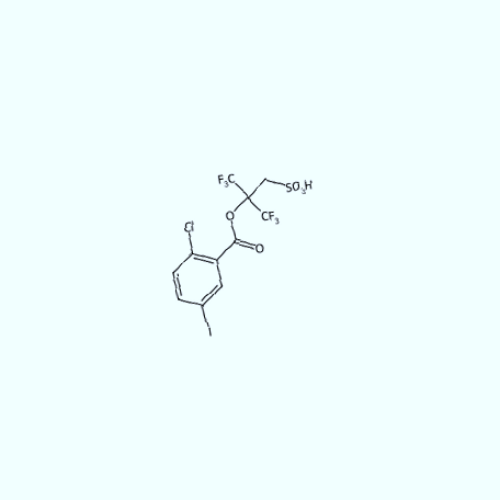 O=C(OC(CS(=O)(=O)O)(C(F)(F)F)C(F)(F)F)c1cc(I)ccc1Cl